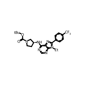 CCn1c(-c2ccc(C(F)(F)F)cc2)nc2c(N[C@H]3CCN(C(=O)OC(C)(C)C)C3)ncnc21